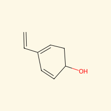 C=CC1=CCC(O)C=C1